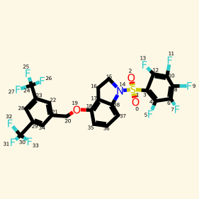 O=S(=O)(c1c(F)c(F)c(F)c(F)c1F)N1CCc2c(OCc3cc(C(F)(F)F)cc(C(F)(F)F)c3)cccc21